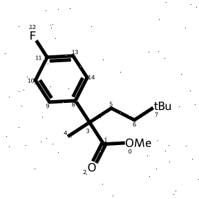 COC(=O)C(C)(CCC(C)(C)C)c1ccc(F)cc1